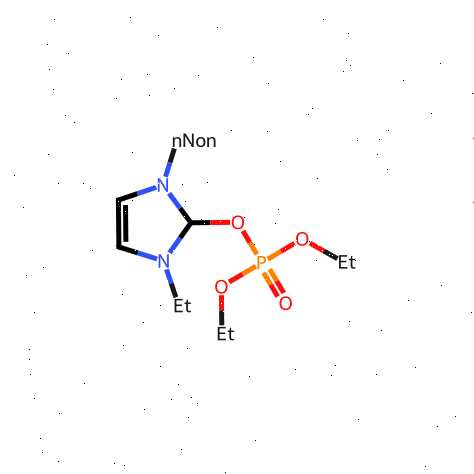 CCCCCCCCCN1C=CN(CC)C1OP(=O)(OCC)OCC